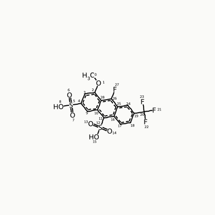 COc1cc(S(=O)(=O)O)cc2c(S(=O)(=O)O)c3ccc(C(F)(F)F)cc3c(F)c12